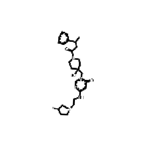 CC(CC(=O)N1CCC(O)(Cn2cnc(NCCN3CC[C@@H](F)C3)cc2=O)CC1)c1ccccc1